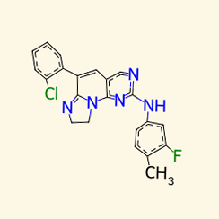 Cc1ccc(Nc2ncc3c(n2)N2CCN=C2C(c2ccccc2Cl)=C3)cc1F